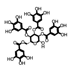 O=C(OC[C@H]1O[C@@H](O)[C@H](OC(=O)c2cc(O)c(O)c(O)c2)[C@@H](OC(=O)c2cc(O)c(O)c(O)c2)[C@@H]1OC(=O)c1cc(O)c(O)c(O)c1)c1cc(O)c(O)c(O)c1